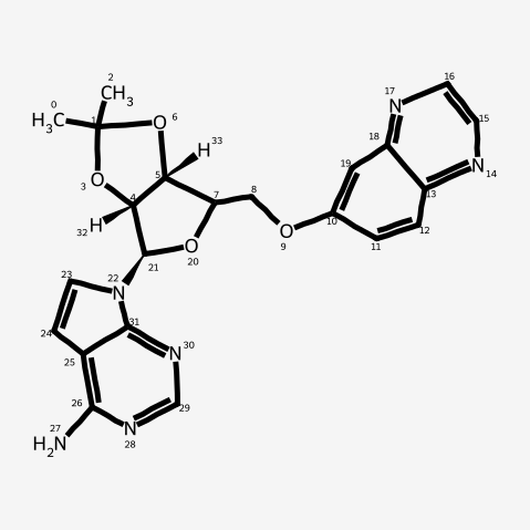 CC1(C)O[C@@H]2[C@H](O1)C(COc1ccc3nccnc3c1)O[C@H]2n1ccc2c(N)ncnc21